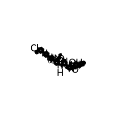 C=CC(=O)Nc1cc(Nc2nc(-c3ccnc(N4CCn5c(cc6c5CC(C)(C)C6)C4=O)c3CO)cn(C)c2=O)ccc1N1CCN(C2CCN(c3ccc(Cl)c(C(C)(C)C)c3)CC2)C[C@@H]1C